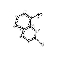 CCc1ccc2cccc(N=O)c2n1